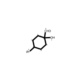 CC(C)C1CCC(O)(C=O)CC1